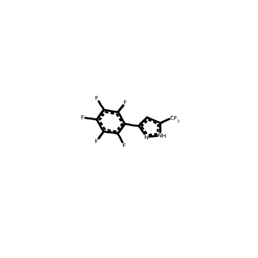 Fc1c(F)c(F)c(-c2cc(C(F)(F)F)[nH]n2)c(F)c1F